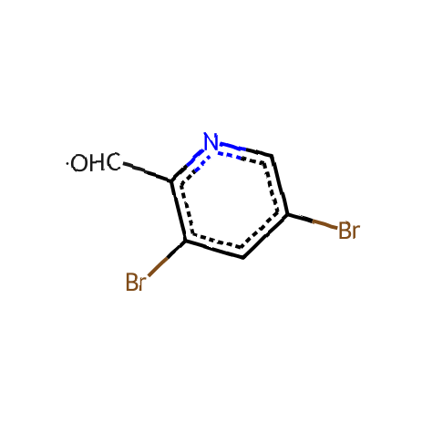 O=[C]c1ncc(Br)cc1Br